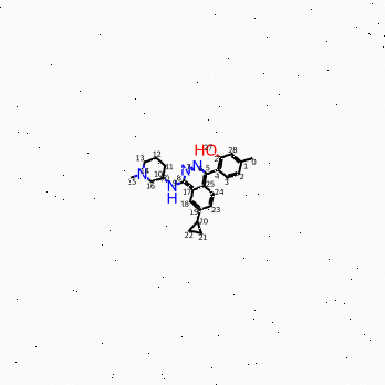 Cc1ccc(-c2nnc(N[C@@H]3CCCN(C)C3)c3cc(C4CC4)ccc23)c(O)c1